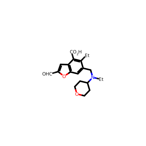 CCc1c(CN(CC)C2CCOCC2)cc2oc(C=O)cc2c1C(=O)O